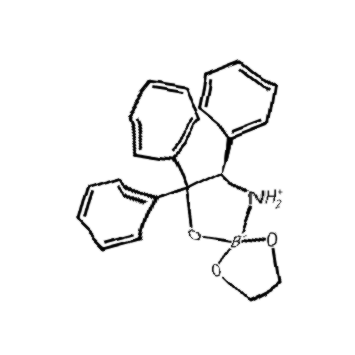 c1ccc([C@H]2[NH2+][B-]3(OCCO3)OC2(c2ccccc2)c2ccccc2)cc1